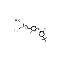 CCCN(CCC)SNc1ccc(Oc2ccc(C(F)(F)F)cc2Cl)cc1F